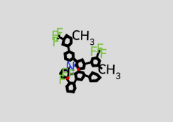 Cc1cc(-c2ccc3c(c2)c2cc(-c4cc(C)cc(C(F)(F)F)c4)ccc2n3-c2ccccc2-c2ccc(-c3ccccc3)cc2-c2ccccc2C(F)(F)F)cc(C(F)(F)F)c1